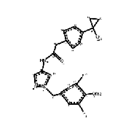 COc1c(F)cc(Cn2ncc(NC(=O)Cc3ccc(C4(C(F)(F)F)CC4)cc3)n2)cc1F